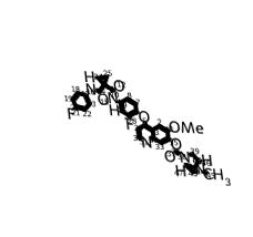 COc1cc2c(Oc3ccc(NC(=O)C4(C(=O)Nc5ccc(F)cc5)CC4)cc3F)ccnc2cc1OC(=O)N1C[C@@H]2C[C@H]1CN2C